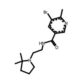 Cc1ncc(C(=O)NCCN2CCCC2(C)C)cc1Br